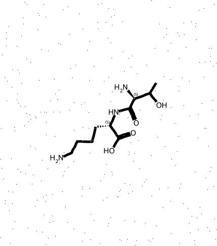 CC(O)[C@H](N)C(=O)N[C@@H](CCCCN)C(=O)O